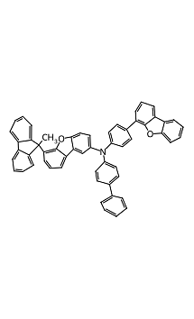 CC1(c2cccc3c2oc2ccc(N(c4ccc(-c5ccccc5)cc4)c4ccc(-c5cccc6c5oc5ccccc56)cc4)cc23)c2ccccc2-c2ccccc21